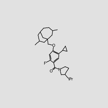 CC1CCC2CC(C)CC(COc3cc(F)c(C(=O)N4CCC(C(C)C)C4)cc3C3CC3)(C1)C2